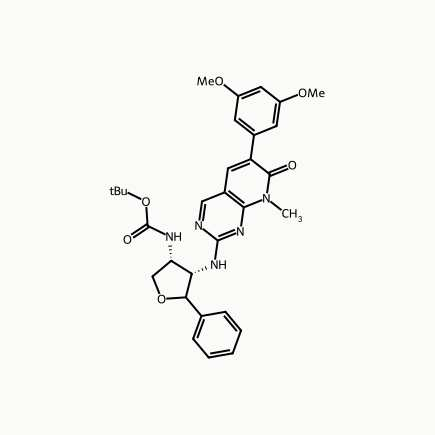 COc1cc(OC)cc(-c2cc3cnc(N[C@@H]4C(c5ccccc5)OC[C@@H]4NC(=O)OC(C)(C)C)nc3n(C)c2=O)c1